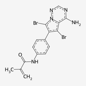 C=C(C)C(=O)Nc1ccc(-c2c(Br)c3c(N)ncnn3c2Br)cc1